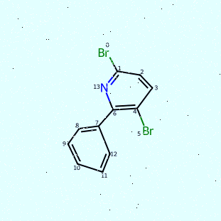 Brc1ccc(Br)c(-c2ccccc2)n1